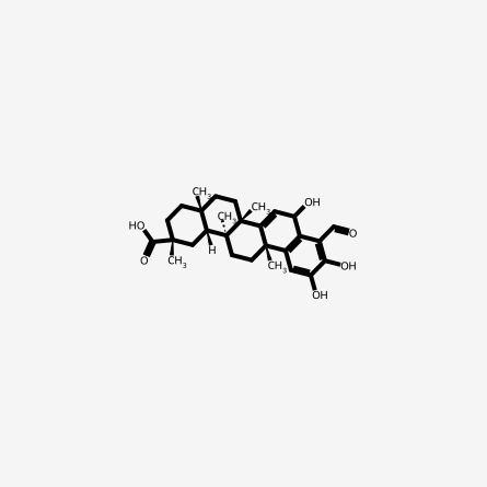 C[C@@]1(C(=O)O)CC[C@]2(C)CC[C@]3(C)C4=CC(O)c5c(cc(O)c(O)c5C=O)[C@]4(C)CC[C@@]3(C)[C@@H]2C1